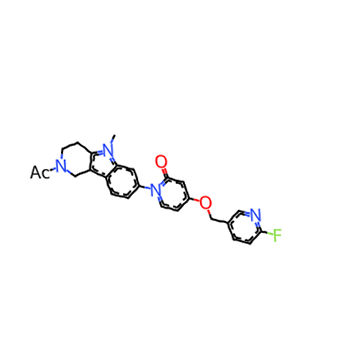 CC(=O)N1CCc2c(c3ccc(-n4ccc(OCc5ccc(F)nc5)cc4=O)cc3n2C)C1